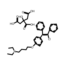 CCN(CC)CCCCOc1ccc(/C(=C(\Cl)c2ccccc2)c2ccccc2)cc1.O=C(O)CC(O)(CC(=O)O)C(=O)O